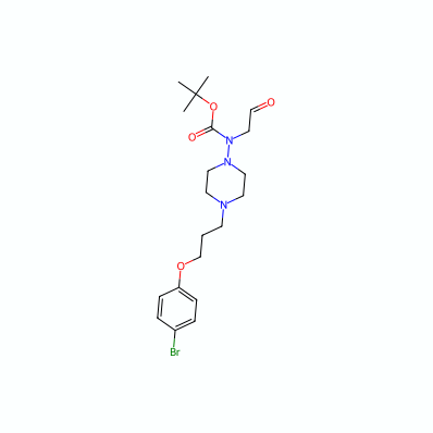 CC(C)(C)OC(=O)N(CC=O)N1CCN(CCCOc2ccc(Br)cc2)CC1